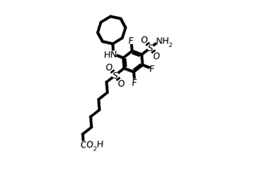 NS(=O)(=O)c1c(F)c(F)c(S(=O)(=O)CCCCCCCC(=O)O)c(NC2CCCCCCC2)c1F